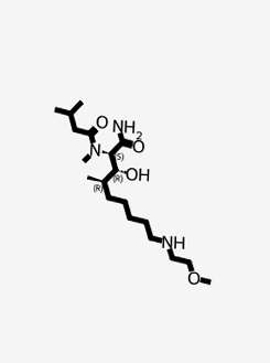 COCCNCCCCC[C@@H](C)[C@@H](O)[C@@H](C(N)=O)N(C)C(=O)CC(C)C